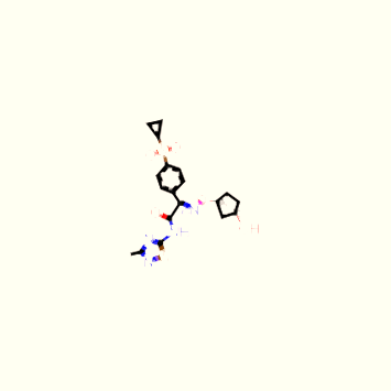 Cc1nsc(NC(=O)/C(=N/O[C@@H]2CC[C@@H](O)C2)c2ccc(S(=O)(=O)C3CC3)cc2)n1